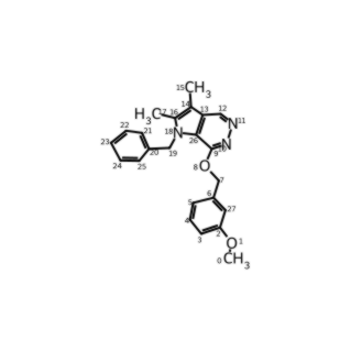 COc1cccc(COc2nncc3c(C)c(C)n(Cc4ccccc4)c23)c1